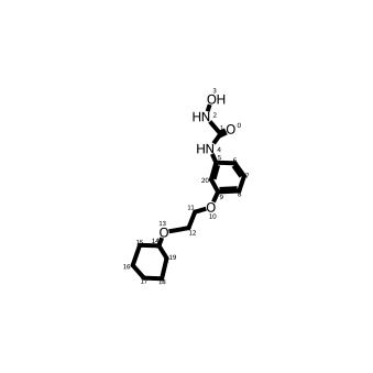 O=C(NO)Nc1cccc(OCCOC2CCCCC2)c1